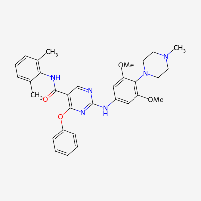 COc1cc(Nc2ncc(C(=O)Nc3c(C)cccc3C)c(Oc3ccccc3)n2)cc(OC)c1N1CCN(C)CC1